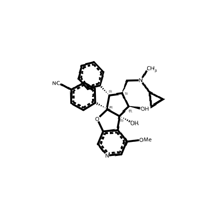 COc1cncc2c1[C@]1(O)[C@H](O)[C@H](CN(C)C3CC3)[C@@H](c3ccccc3)[C@]1(c1ccc(C#N)cc1)O2